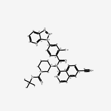 CC(C)(C)OC(=O)N1CCC[C@@H](N(C(=O)c2ccc(-n3nnc4cccnc43)cc2F)c2nccc3cc(C#N)ccc23)C1